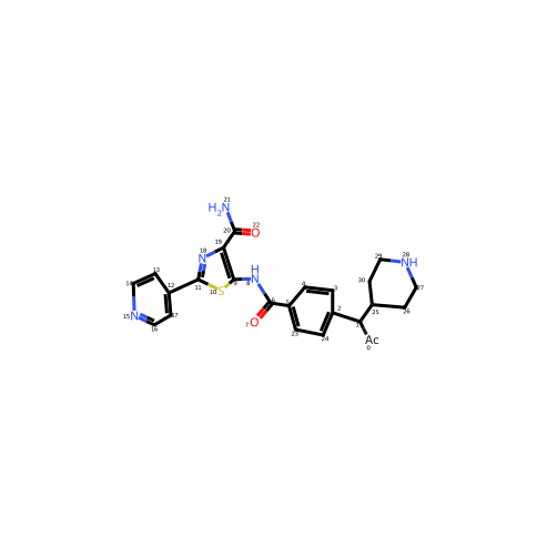 CC(=O)C(c1ccc(C(=O)Nc2sc(-c3ccncc3)nc2C(N)=O)cc1)C1CCNCC1